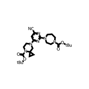 CC(C)(C)OC(=O)N1CCCN(c2nc(C#N)cc(N3CCN(C(=O)OC(C)(C)C)C4(CC4)C3)n2)CC1